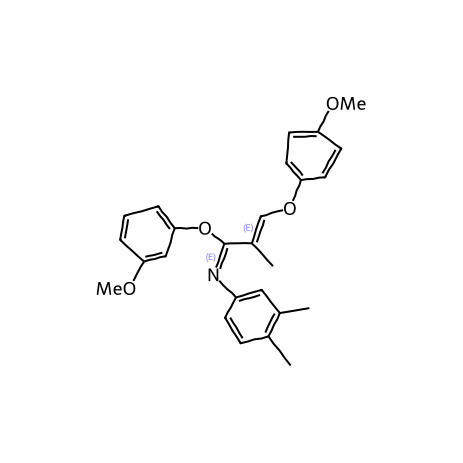 COc1ccc(O/C=C(C)/C(=N\c2ccc(C)c(C)c2)Oc2cccc(OC)c2)cc1